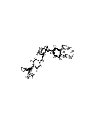 CC(C)C(=O)N1CCN(Cc2nnnn2-c2ccc(C#N)c(C(F)(F)F)c2)CC1